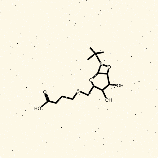 CC(C)(C)B1OC2C1OC(CSCCCC(=O)O)C(O)C2O